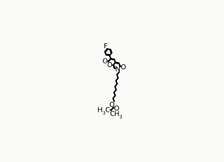 CC(C)C(=O)OCCCCCCCCCCCn1cc2oc(=O)c(-c3ccc(F)cc3)cc2cc1=O